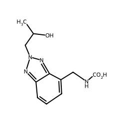 CC(O)Cn1nc2cccc(CNC(=O)O)c2n1